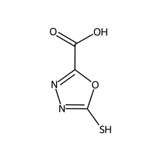 O=C(O)c1nnc(S)o1